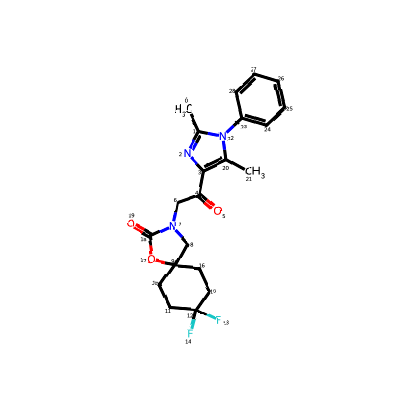 Cc1nc(C(=O)CN2CC3(CCC(F)(F)CC3)OC2=O)c(C)n1-c1ccccc1